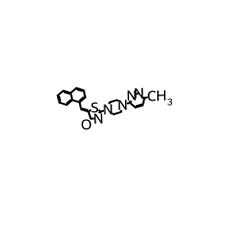 Cc1ccc(N2CCN(C3=NC(=O)C(=Cc4cccc5ccccc45)S3)CC2)nn1